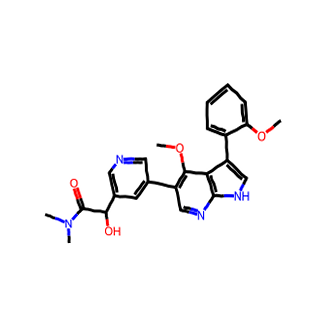 COc1ccccc1-c1c[nH]c2ncc(-c3cncc(C(O)C(=O)N(C)C)c3)c(OC)c12